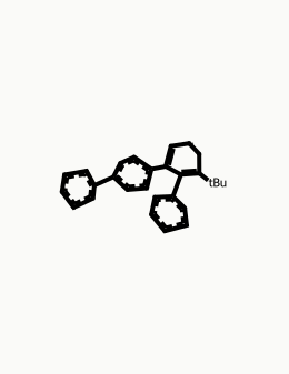 CC(C)(C)C1=C(c2ccccc2)C(c2ccc(-c3ccccc3)cc2)=C[CH]C1